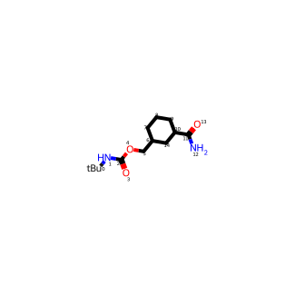 CC(C)(C)NC(=O)OCC1CCCC(C(N)=O)C1